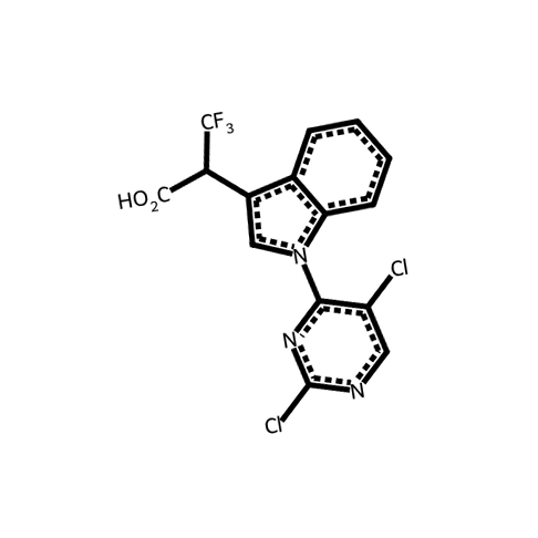 O=C(O)C(c1cn(-c2nc(Cl)ncc2Cl)c2ccccc12)C(F)(F)F